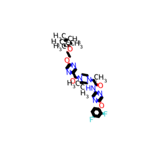 C[C@@H](C(=O)Nc1cnc(Oc2ccc(F)cc2F)cn1)N1CCN(C(=O)c2cnc(OCCO[Si](C)(C)C(C)(C)C)cn2)C(C)(C)C1